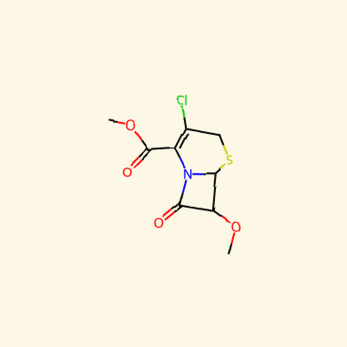 COC(=O)C1=C(Cl)CSC2C(OC)C(=O)N12